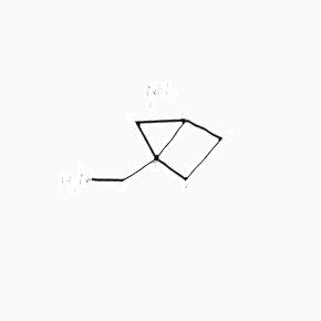 N.NCC12CCC1C2